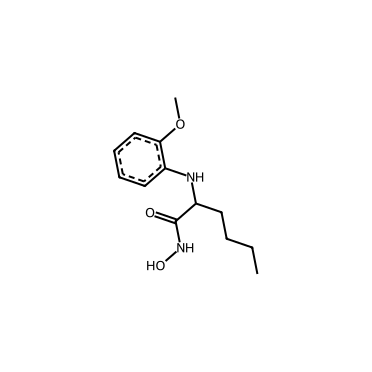 CCCCC(Nc1ccccc1OC)C(=O)NO